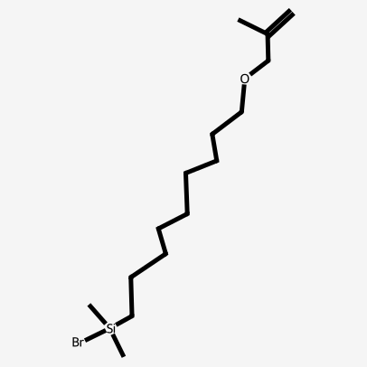 C=C(C)COCCCCCCCCC[Si](C)(C)Br